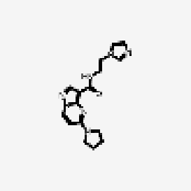 O=C(NCCn1ccnc1)c1cnn2ccc(N3CCCC3)nc12